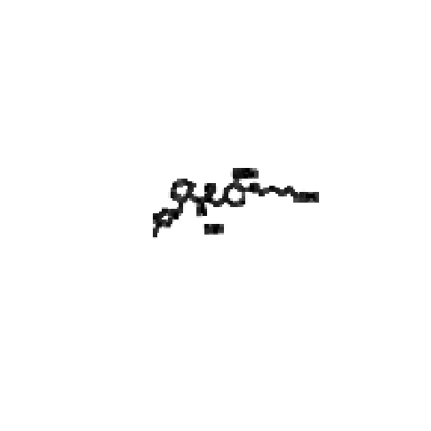 Br.CCCCCCCCCCCCCCOc1ccc(CC(=O)Nc2ccccc2CN2C=C(C)SC2)cc1OC